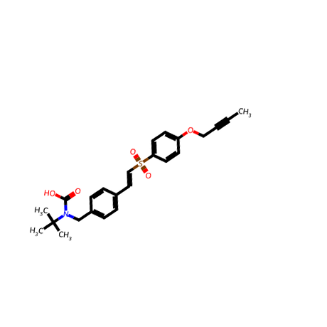 CC#CCOc1ccc(S(=O)(=O)/C=C/c2ccc(CN(C(=O)O)C(C)(C)C)cc2)cc1